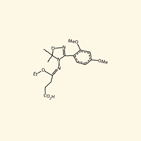 CCOC(CCC(=O)O)=NN1C(c2ccc(OC)cc2OC)=NOC1(C)C